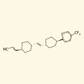 N#CC=C[C@H]1CC[C@H](/C=C/[C@H]2CC[C@H](c3ccc(C(F)(F)F)cc3)CC2)CC1